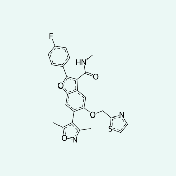 CNC(=O)c1c(-c2ccc(F)cc2)oc2cc(-c3c(C)noc3C)c(OCc3nccs3)cc12